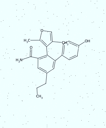 CCCc1cc(C(N)=O)c(-c2c(C)coc2C)c(-c2ccc(O)cc2)c1